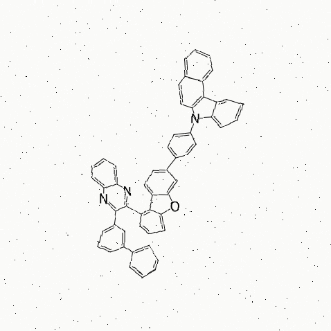 c1ccc(-c2cccc(-c3nc4ccccc4nc3-c3cccc4oc5cc(-c6ccc(-n7c8ccccc8c8c9ccccc9ccc87)cc6)ccc5c34)c2)cc1